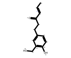 C/C=C/C(=O)CCc1ccc(O)c(CO)c1